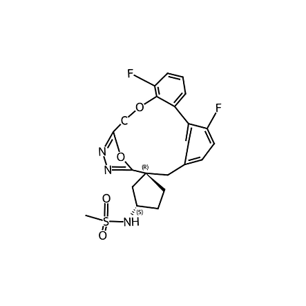 CS(=O)(=O)N[C@H]1CC[C@@]2(Cc3ccc(F)c(c3)-c3cccc(F)c3OCc3nnc2o3)C1